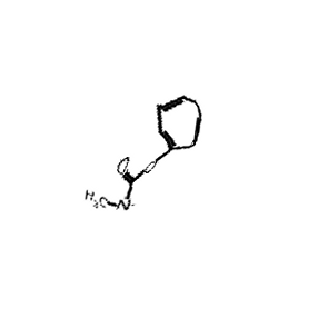 C[N]C(=O)Oc1ccccc1